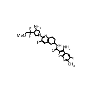 COCC(F)(F)C1CN(c2nc3c(cc2F)CC(NC(=O)c2sc4nc(C)c(F)cc4c2N)CC3)CC1N